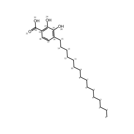 CCCCCCCCCCCCCCCCc1ccc(C(=O)O)c(O)c1O